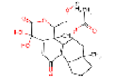 COCC1OC(=O)C(O)(O)C2=CC(=O)C3=C(C(OC(C)=O)CC4(C)CCCC34)C21C